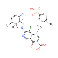 C[C@H]1C=C[C@@H](N)[C@H]2CN(c3ncc4c(=O)c(C(=O)O)cn(C5CC5)c4c3Cl)C[C@H]21.Cc1ccc(S(=O)(=O)O)cc1